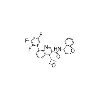 O=C(NC1CCOc2ccccc21)c1cnc2c(-c3cc(F)cc(F)c3F)cccc2c1C1COC1